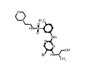 Cc1ccc(Nc2ncc(Br)c(N[C@H](C)CO)n2)cc1S(=O)(=O)NCCN1CCOCC1